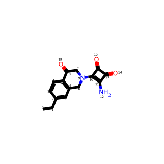 CCc1ccc2c(c1)CN(c1c(N)c(=O)c1=O)CC2=O